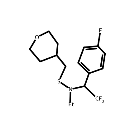 CCN(SCC1CCOCC1)C(c1ccc(F)cc1)C(F)(F)F